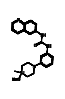 CO[N+]1(C)CCN(c2cccc(NC(=O)Nc3ccc4ncccc4c3)c2)CC1